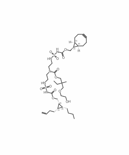 C=CCC[C@H]1[C@@H](CCCC)[C@H]1COC(=O)NS(=O)(=O)NCCN(CCNS(=O)(=O)NC(=O)OC[C@@H]1[C@@H]2CCC#CCC[C@@H]21)C(=O)OCC(C)(CC)COCCO